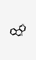 [c]1nccc2ncc3ccccc3c12